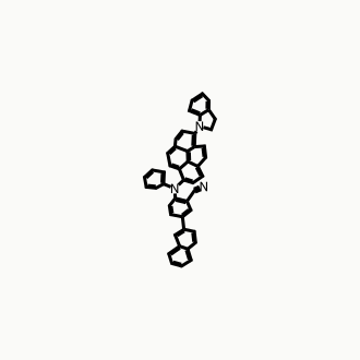 N#Cc1cc(-c2ccc3ccccc3c2)ccc1N(c1ccccc1)c1ccc2ccc3c(N4CCc5ccccc54)ccc4ccc1c2c43